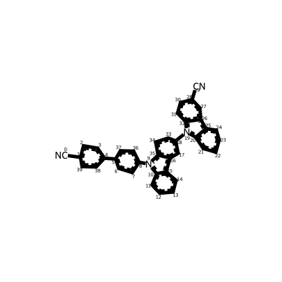 N#Cc1ccc(-c2ccc(-n3c4ccccc4c4cc(-n5c6ccccc6c6cc(C#N)ccc65)ccc43)cc2)cc1